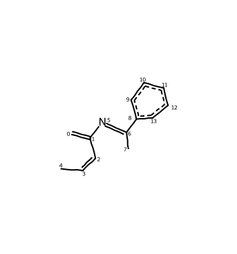 C=C(/C=C\C)/N=C(\C)c1ccccc1